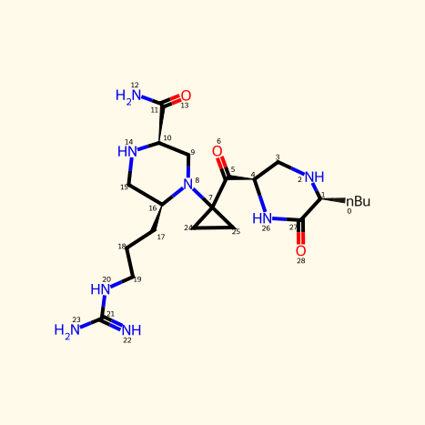 CCCC[C@@H]1NC[C@H](C(=O)C2(N3C[C@H](C(N)=O)NC[C@@H]3CCCNC(=N)N)CC2)NC1=O